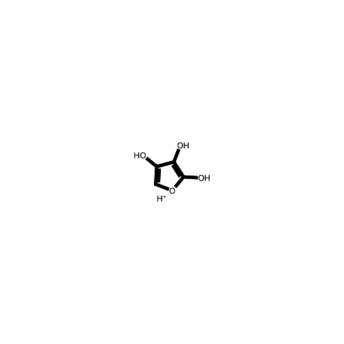 Oc1coc(O)c1O.[H+]